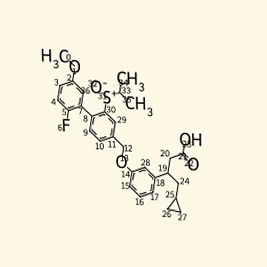 COc1ccc(F)c(-c2ccc(COc3cccc(C(CC(=O)O)CC4CC4)c3)cc2[S+]([O-])C(C)C)c1